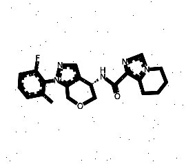 Cc1cccc(F)c1-n1ncc2c1COC[C@H]2NC(=O)c1ncn2c1CCCC2